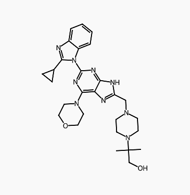 CC(C)(CO)N1CCN(Cc2nc3c(N4CCOCC4)nc(-n4c(C5CC5)nc5ccccc54)nc3[nH]2)CC1